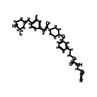 Cc1cc(N(C)C(=O)[C@H]2CC[C@H](Oc3cccc(CCOC(=O)NCN=[N+]=[N-])c3)CC2)ccc1CN1CCN[C@@H](C)C1